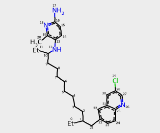 CCC(CCCCCCCCC(CC)Nc1ccc(N)nc1C)Cc1ccc2ncc(Cl)cc2c1